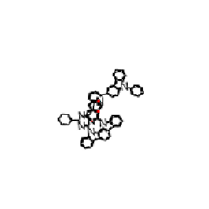 C1=CC(c2nc(-c3ccccc3)nc(-n3c4ccccc4c4ccc5c6ccccc6n(-c6cccc(-c7cccc(-c8ccc9c(c8)c8ccccc8n9-c8ccccc8)n7)c6)c5c43)n2)=CCC1